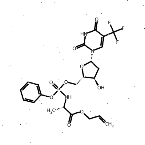 C=CCOC(=O)[C@H](C)NP(=O)(OC[C@@H]1O[C@H](n2cc(C(F)(F)F)c(=O)[nH]c2=O)C[C@H]1O)Oc1ccccc1